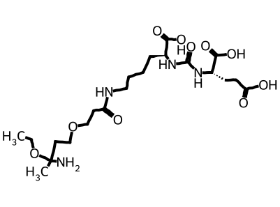 CCOC(C)(N)CCOCCC(=O)NCCCC[C@H](NC(=O)N[C@@H](CCC(=O)O)C(=O)O)C(=O)O